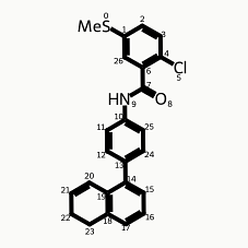 CSc1ccc(Cl)c(C(=O)Nc2ccc(-c3cccc4c3C=CCC4)cc2)c1